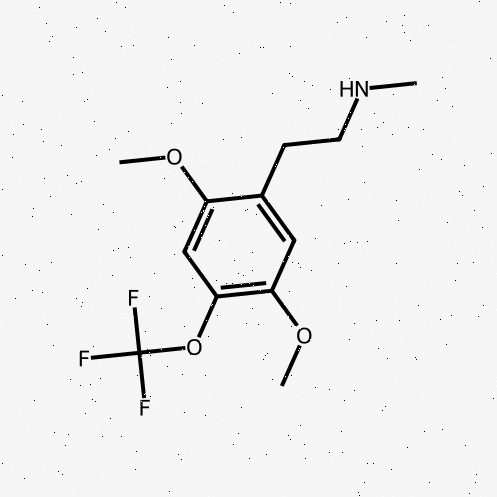 CNCCc1cc(OC)c(OC(F)(F)F)cc1OC